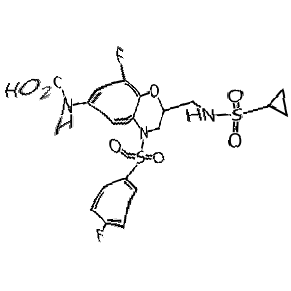 O=C(O)Nc1cc(F)c2c(c1)N(S(=O)(=O)c1ccc(F)cc1)CC(CNS(=O)(=O)C1CC1)O2